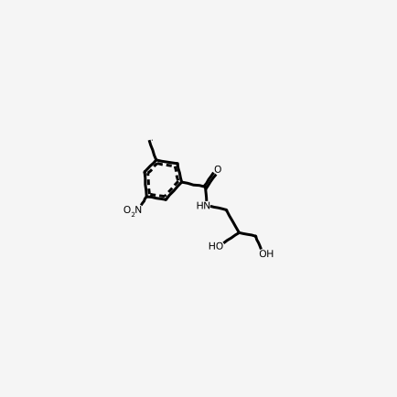 [CH2]c1cc(C(=O)NCC(O)CO)cc([N+](=O)[O-])c1